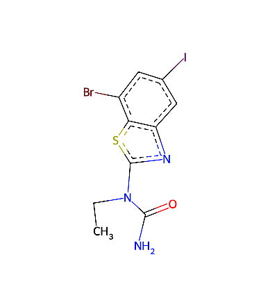 CCN(C(N)=O)c1nc2cc(I)cc(Br)c2s1